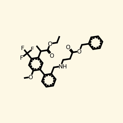 CCOC(=O)C(C)c1cc(-c2ccccc2CNCCC(=O)OCc2ccccc2)c(OC)cc1C(F)(F)F